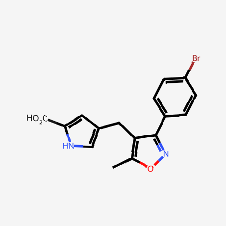 Cc1onc(-c2ccc(Br)cc2)c1Cc1c[nH]c(C(=O)O)c1